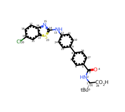 CC(C)(C)[C@H](NC(=O)c1ccc(-c2ccc(Nc3nc4ccc(Cl)cc4s3)cc2)cc1)C(=O)O